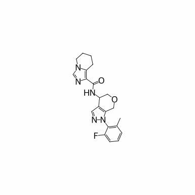 Cc1cccc(F)c1-n1ncc2c1COCC2NC(=O)c1ncn2c1CCCC2